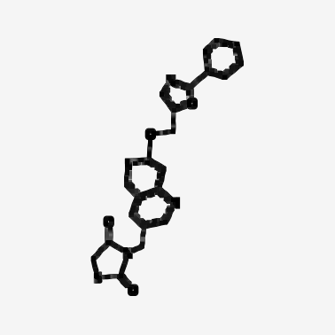 O=C1CSC(=O)N1Cc1cnc2cc(OCc3cnc(-c4ccccc4)o3)ccc2c1